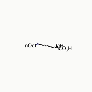 CCCCCCCC/C=C\CCCCCCCCCCCC(O)CC(=O)O